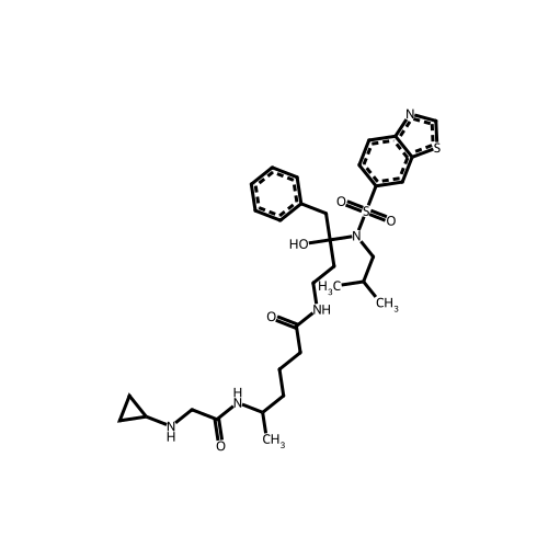 CC(C)CN(C(O)(CCNC(=O)CCCC(C)NC(=O)CNC1CC1)Cc1ccccc1)S(=O)(=O)c1ccc2ncsc2c1